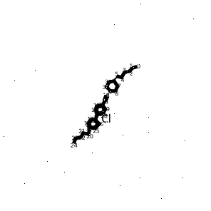 CCCCCC[C@H]1CC[C@H](C#Cc2ccc(-c3ccc(CCCCC)cc3)c(Cl)c2)CC1